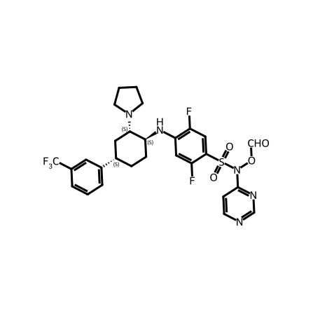 O=CON(c1ccncn1)S(=O)(=O)c1cc(F)c(N[C@H]2CC[C@H](c3cccc(C(F)(F)F)c3)C[C@@H]2N2CCCC2)cc1F